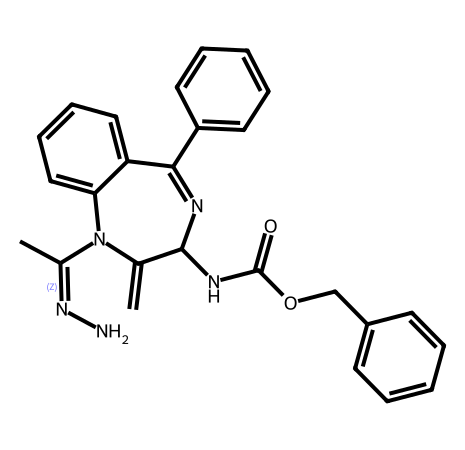 C=C1C(NC(=O)OCc2ccccc2)N=C(c2ccccc2)c2ccccc2N1/C(C)=N\N